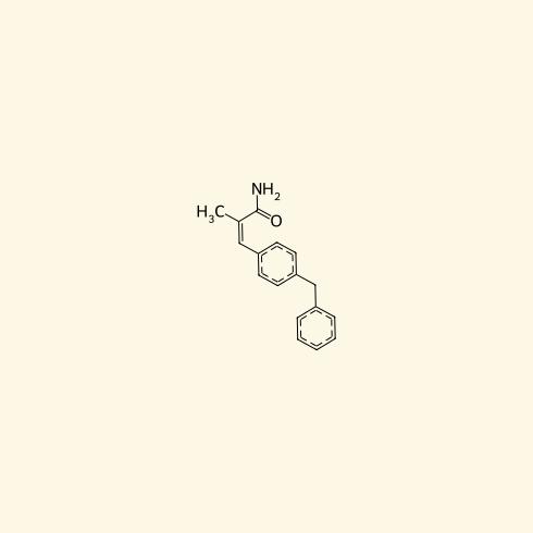 CC(=Cc1ccc(Cc2ccccc2)cc1)C(N)=O